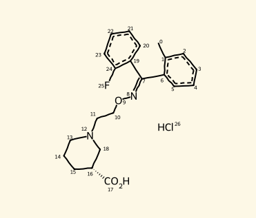 Cc1ccccc1/C(=N/OCCN1CCC[C@@H](C(=O)O)C1)c1ccccc1F.Cl